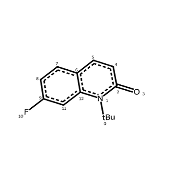 CC(C)(C)n1c(=O)ccc2ccc(F)cc21